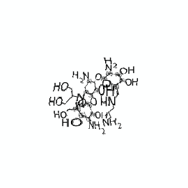 NCCCNC[C@H]1O[C@H](OC2[C@@H](N)C[C@@H](NC(CO)CO)[C@H](O[C@H]3O[C@H](CO)[C@@H](O)[C@H](N)[C@H]3O)[C@H]2O)[C@H](N)[C@@H](O)[C@@H]1O